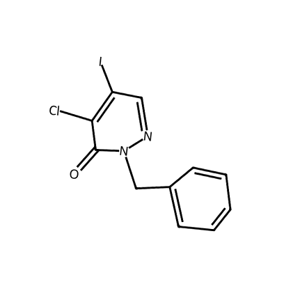 O=c1c(Cl)c(I)cnn1Cc1ccccc1